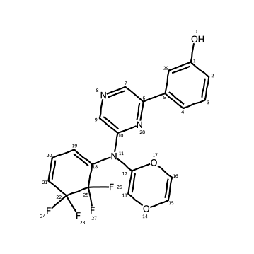 Oc1cccc(-c2cncc(N(C3=COC=CO3)C3=CC=CC(F)(F)C3(F)F)n2)c1